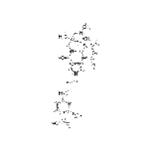 CN(C)CC(C)(C)CNC(=O)c1cn(CCCNc2ccc([N+](=O)[O-])c(N)n2)cc1-c1ccc(Cl)cc1Cl